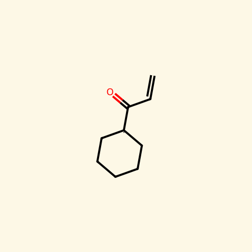 C=CC(=O)[C]1CCCCC1